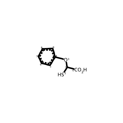 O=C(O)C(S)Oc1ccccc1